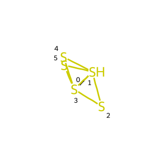 C[SH]123SS1(S2)S3